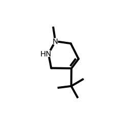 CN1CC=C(C(C)(C)C)CN1